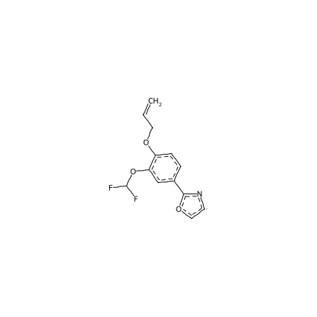 C=CCOc1ccc(-c2n[c]co2)cc1OC(F)F